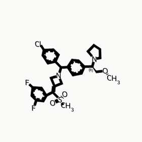 COC[C@@H](c1ccc(C(c2ccc(Cl)cc2)N2CC(=C(c3cc(F)cc(F)c3)S(C)(=O)=O)C2)cc1)N1CCCC1